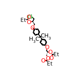 CCC(=O)OC[C@H](COc1ccc(C(C)(C)c2ccc(OC[C@H](CCl)OC(=O)CC)cc2)cc1)OC(=O)CC